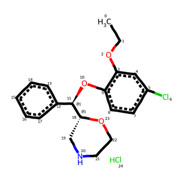 CCOc1cc(Cl)ccc1O[C@H](c1ccccc1)[C@H]1CNCCO1.Cl